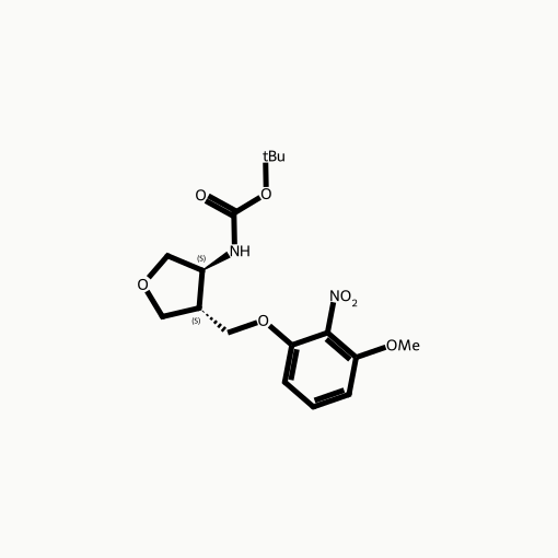 COc1cccc(OC[C@@H]2COC[C@H]2NC(=O)OC(C)(C)C)c1[N+](=O)[O-]